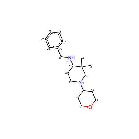 CC1(C)CN(C2CCOCC2)CCC1NCc1ccccc1